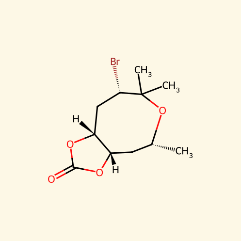 C[C@@H]1C[C@@H]2OC(=O)O[C@@H]2C[C@H](Br)C(C)(C)O1